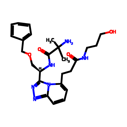 CC(C)(N)C(=O)N[C@H](COCc1ccccc1)c1nnc2cccc(CCC(=O)NCCCO)n12